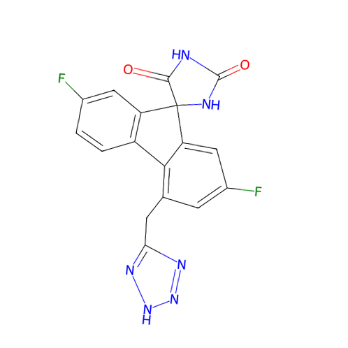 O=C1NC(=O)C2(N1)c1cc(F)ccc1-c1c(Cc3nn[nH]n3)cc(F)cc12